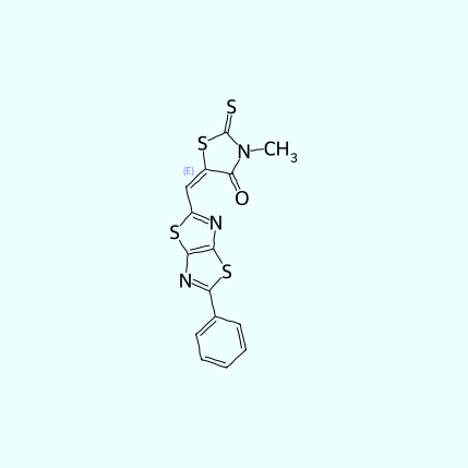 CN1C(=O)/C(=C\c2nc3sc(-c4ccccc4)nc3s2)SC1=S